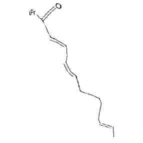 CC=CCCC=CC=CC(=O)C(C)C